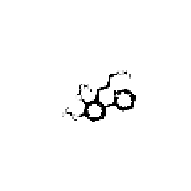 CCCCc1c(-c2ccccn2)ccc(OC)c1OC